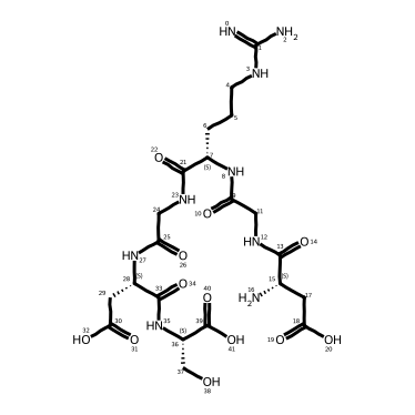 N=C(N)NCCC[C@H](NC(=O)CNC(=O)[C@@H](N)CC(=O)O)C(=O)NCC(=O)N[C@@H](CC(=O)O)C(=O)N[C@@H](CO)C(=O)O